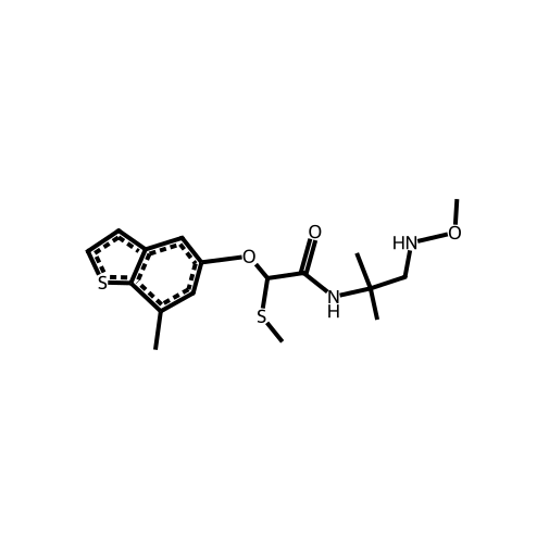 CONCC(C)(C)NC(=O)C(Oc1cc(C)c2sccc2c1)SC